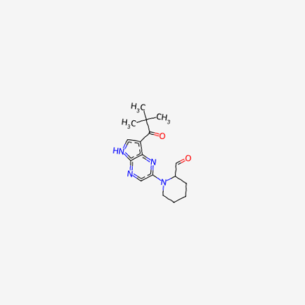 CC(C)(C)C(=O)c1c[nH]c2ncc(N3CCCCC3C=O)nc12